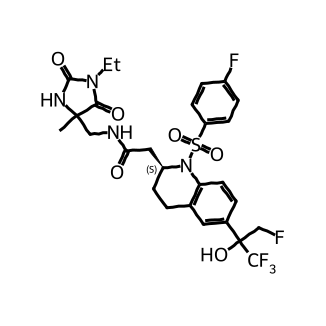 CCN1C(=O)NC(C)(CNC(=O)C[C@@H]2CCc3cc(C(O)(CF)C(F)(F)F)ccc3N2S(=O)(=O)c2ccc(F)cc2)C1=O